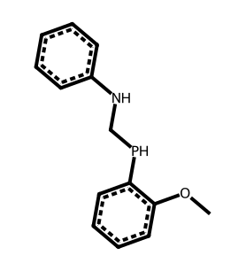 COc1ccccc1PCNc1ccccc1